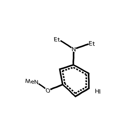 CCN(CC)c1cccc(ONC)c1.I